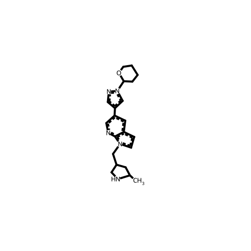 CC1CC(Cn2ccc3cc(-c4cnn(C5CCCCO5)c4)cnc32)CN1